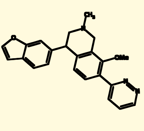 COc1c(-c2cccnn2)ccc2c1CN(C)CC2c1ccc2ccoc2c1